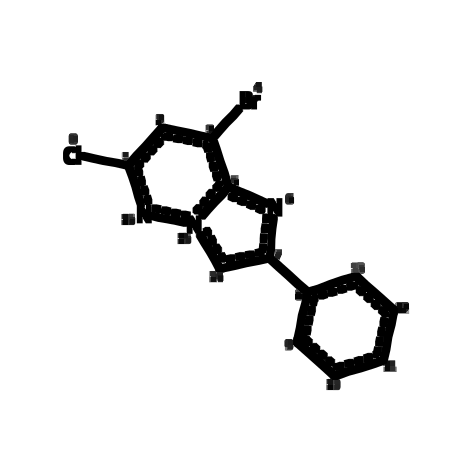 Clc1cc(Br)c2nc(-c3ccccc3)cn2n1